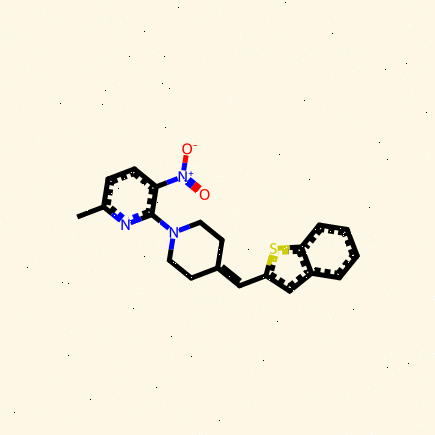 Cc1ccc([N+](=O)[O-])c(N2CCC(=Cc3cc4ccccc4s3)CC2)n1